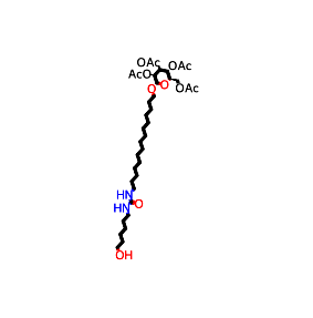 CC(=O)OC[C@H]1O[C@@H](OCCCCCCCCCCCCCCCNC(=O)NCCCCCCO)[C@H](OC(C)=O)[C@@H](OC(C)=O)[C@@H]1OC(C)=O